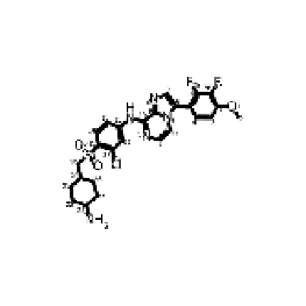 COc1ccc(-c2cnc3c(Nc4ccc(S(=O)(=O)CC5CCC(N)CC5)c(Cl)c4)nccn23)c(F)c1F